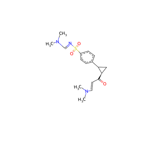 CN(C)/C=C/C(=O)[C@@H]1CC1c1ccc(S(=O)(=O)/N=C/N(C)C)cc1